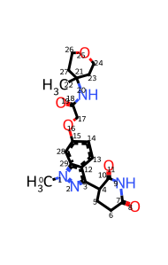 Cn1nc(C2CCC(=O)NC2=O)c2ccc(OCC(=O)NC3(C)CCOCC3)cc21